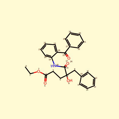 CCOC(=O)CCC(O)(Cc1ccccc1)C(=O)Nc1ccccc1C(=O)c1ccccc1